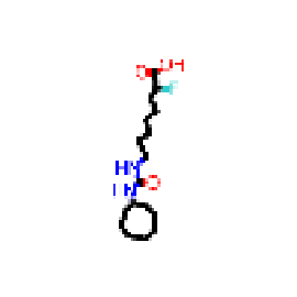 O=C(NCCCCCCC(F)C(=O)O)NC1CCCCCCC1